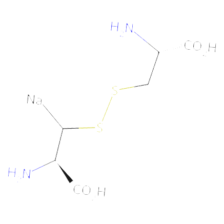 N[C@H](C(=O)O)[CH]([Na])SSC[C@H](N)C(=O)O